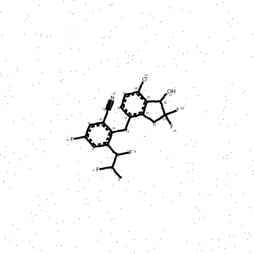 CC(F)C(F)c1cc(F)cc(C#N)c1Cc1ccc(Cl)c2c1CC(F)(F)C2O